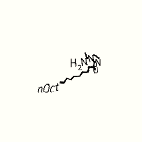 CCCCCCCCC=CCCCCCCCC(=O)C1=NCCN1C(C)N